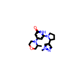 CC1COCCN1c1cc(N2CCCC2c2cnn(C)c2)[nH]c(=O)c1